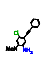 CNc1cc(Cl)c(C#Cc2ccccc2)cc1N